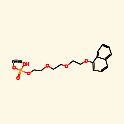 CCCCCCOP(=O)(O)OCCOCCOCCOc1cccc2ccccc12